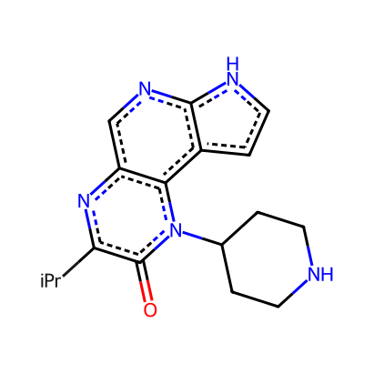 CC(C)c1nc2cnc3[nH]ccc3c2n(C2CCNCC2)c1=O